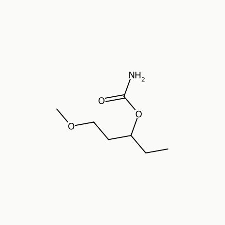 CCC(CCOC)OC(N)=O